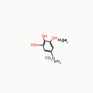 O=C(O)c1cc(O)c(O)c(O)c1.[La].[MgH2].[SrH2]